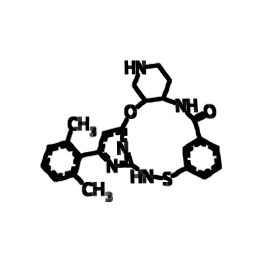 Cc1cccc(C)c1-c1cc2nc(n1)NSc1cccc(c1)C(=O)NC1CCNCC1O2